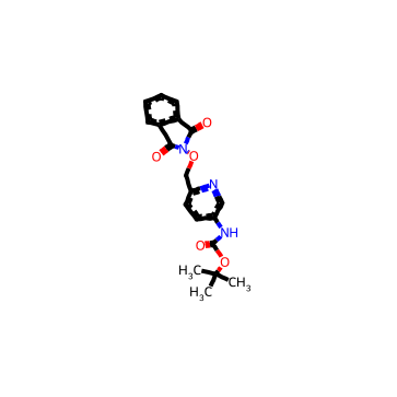 CC(C)(C)OC(=O)Nc1ccc(CON2C(=O)c3ccccc3C2=O)nc1